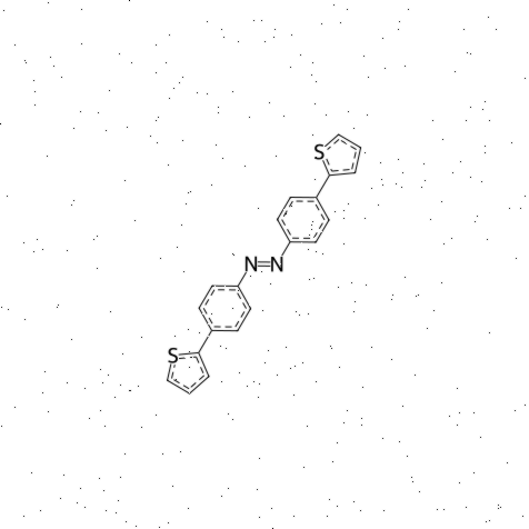 c1csc(-c2ccc(N=Nc3ccc(-c4cccs4)cc3)cc2)c1